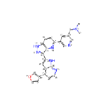 CN(C)Cc1cncc(-c2ccc3[nH]nc(-c4cc5c(-c6ccoc6)ccnc5[nH]4)c3n2)c1